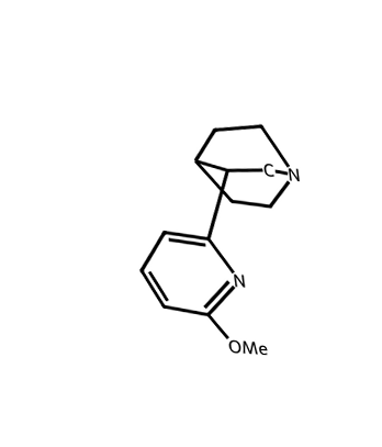 COc1cccc(C2CN3CCC2CC3)n1